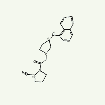 N#C[C@@H]1CCCN1C(=O)CN1CC[C@H](Nc2cccc3ncccc23)C1